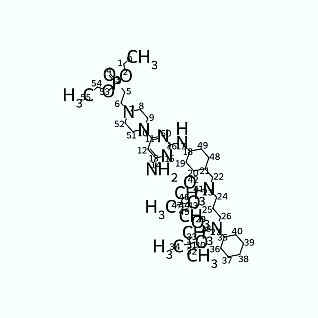 CCOP(=O)(CCN1CCN(c2cc(N)nc(NC3CCC(CN(CCCN(C(=O)OC(C)(C)C)C4CCCCC4)C(=O)OC(C)(C)C)CC3)n2)CC1)OCC